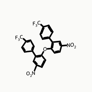 O=[N+]([O-])c1ccc(Oc2ccc([N+](=O)[O-])cc2-c2ccc(C(F)(F)F)cc2)c(-c2ccc(C(F)(F)F)cc2)c1